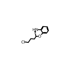 ClCCCC1Oc2ccccc2NS1